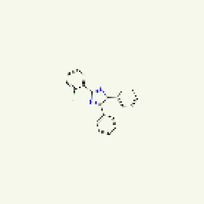 Clc1ccccc1C1=NC(c2ccccc2)C(c2ccccc2)=N1